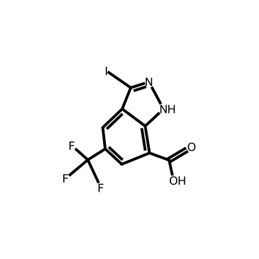 O=C(O)c1cc(C(F)(F)F)cc2c(I)n[nH]c12